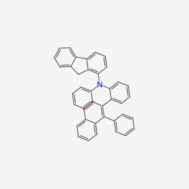 c1ccc(-c2c(-c3ccccc3N(c3ccccc3)c3cccc4c3Cc3ccccc3-4)ccc3ccccc23)cc1